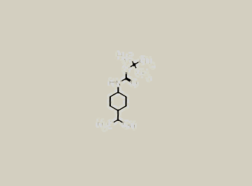 CC(O)C1CCC(NC(=O)OC(C)(C)C)CC1